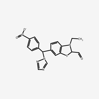 CCN1c2ccc(C(c3ccc([N+](=O)[O-])cc3)n3cncn3)cc2SC1C=O